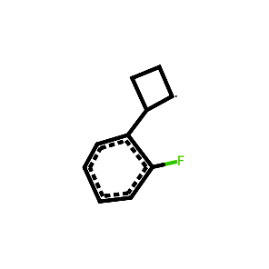 Fc1ccccc1C1[CH]CC1